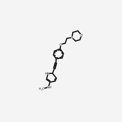 CNC1=CNC(C#Cc2ccc(OCCN3CCOCC3)cc2)C=C1